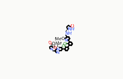 COC(=O)[C@H]1CCN(Cc2cnc3cc(-c4cccc(-c5cccc(-c6ccc(CNC[C@H]7CCC(=O)N7)c(OC)n6)c5Cl)c4Cl)cc(C)n3c2=O)C1